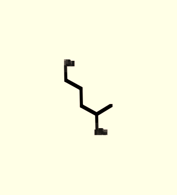 CCCCC(C)CCCC(C)CC